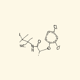 CC(Oc1ccc(Cl)cc1Cl)C(=O)NC(C)(C#N)C(C)(C)I